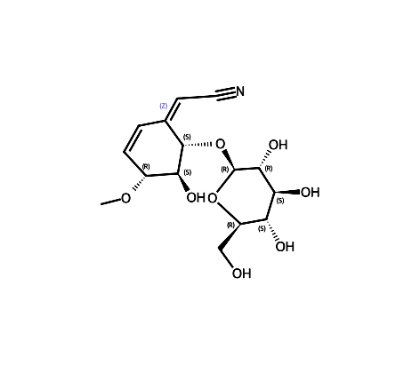 CO[C@@H]1C=C/C(=C/C#N)[C@H](O[C@@H]2O[C@H](CO)[C@@H](O)[C@H](O)[C@H]2O)[C@H]1O